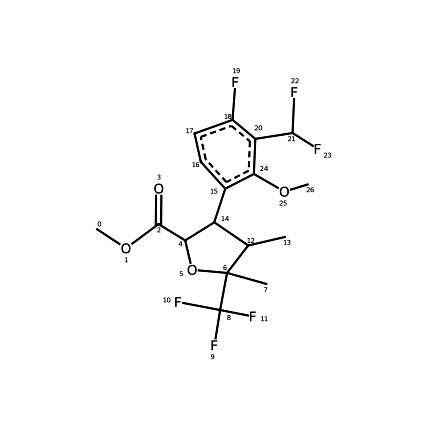 COC(=O)C1OC(C)(C(F)(F)F)C(C)C1c1ccc(F)c(C(F)F)c1OC